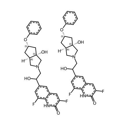 O=c1[nH]c2c(F)cc(C(O)CN3C[C@H]4C[C@H](Oc5ccccc5)C[C@@]4(O)C3)cc2cc1F.O=c1[nH]c2c(F)cc(C(O)CN3C[C@H]4C[C@H](Oc5ccccc5)C[C@@]4(O)C3)cc2cc1F